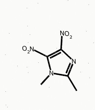 Cc1nc([N+](=O)[O-])c([N+](=O)[O-])n1C